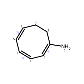 N/C1=C/C=C\C=C/CC1